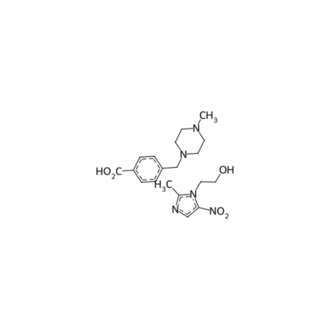 CN1CCN(Cc2ccc(C(=O)O)cc2)CC1.Cc1ncc([N+](=O)[O-])n1CCO